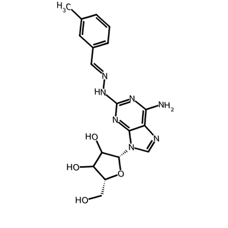 Cc1cccc(C=NNc2nc(N)c3ncn([C@@H]4O[C@H](CO)C(O)C4O)c3n2)c1